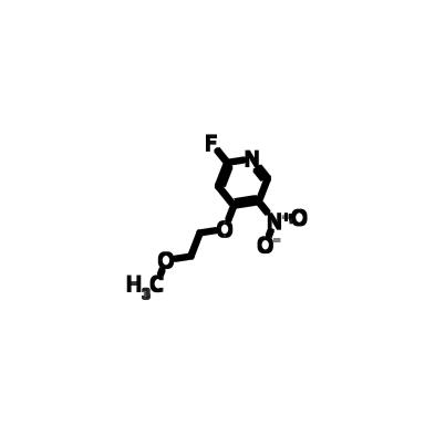 COCCOc1cc(F)ncc1[N+](=O)[O-]